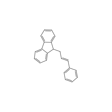 C(=Cc1ccccc1)CC1c2ccccc2-c2ccccc21